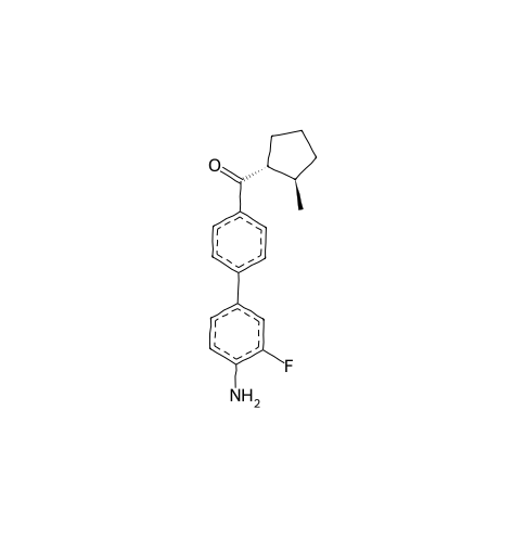 C[C@@H]1CCC[C@H]1C(=O)c1ccc(-c2ccc(N)c(F)c2)cc1